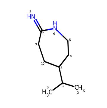 CC(C)C1CCNC(=N)CC1